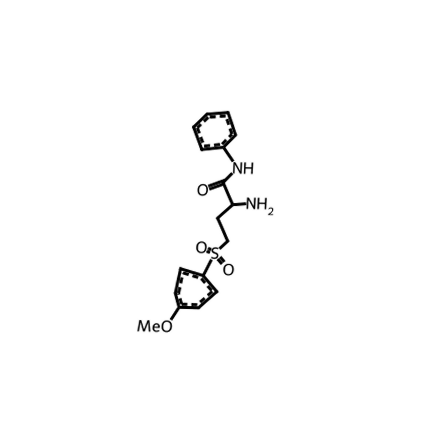 COc1ccc(S(=O)(=O)CCC(N)C(=O)Nc2ccccc2)cc1